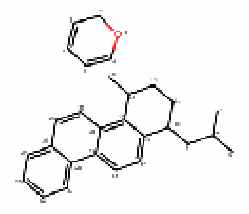 C1=CCOC=C1.CC(C)CC1CCC(C)c2c1ccc1c2ccc2ccccc21